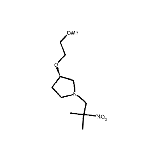 COCCO[C@@H]1CCN(CC(C)(C)[N+](=O)[O-])C1